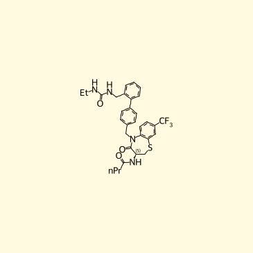 CCCC(=O)N[C@@H]1CSc2cc(C(F)(F)F)ccc2N(Cc2ccc(-c3ccccc3CNC(=O)NCC)cc2)C1=O